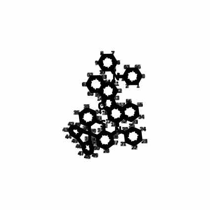 c1ccc(N(c2ccccc2)c2cc3c(oc4cc(N(c5ccccc5)c5cccc6c5Sc5ccccc5C65c6ccccc6-c6ccccc65)c5ccccc5c43)c3ccccc23)cc1